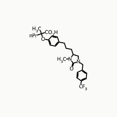 CCCC(C)(Oc1ccc(CCCC2CN(Cc3ccc(C(F)(F)F)cc3)C(=O)N2C)cc1)C(=O)O